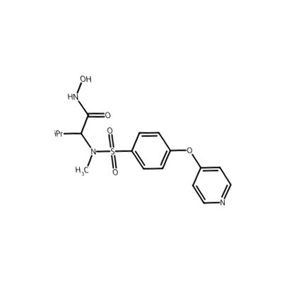 CC(C)C(C(=O)NO)N(C)S(=O)(=O)c1ccc(Oc2ccncc2)cc1